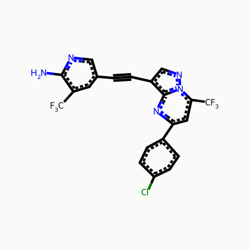 Nc1ncc(C#Cc2cnn3c(C(F)(F)F)cc(-c4ccc(Cl)cc4)nc23)cc1C(F)(F)F